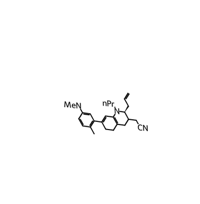 C=CC[C@H]1C(CC#N)CC2=C(C=C(c3cc(NC)ccc3C)CC2)N1CCC